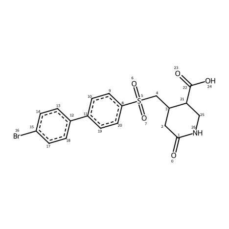 O=C1CC(CS(=O)(=O)c2ccc(-c3ccc(Br)cc3)cc2)C(C(=O)O)CN1